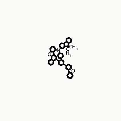 CC1(C)c2ccccc2-c2ccc(N(c3ccccc3)c3cccc4oc5c6ccccc6c(-c6ccc(-c7ccc8oc9ccccc9c8c7)cc6)cc5c34)cc21